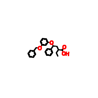 CCC(CC(Oc1cccc(OCc2ccccc2)c1)c1ccccc1)C(=O)O